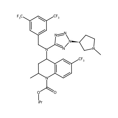 CC(C)OC(=O)N1c2ccc(C(F)(F)F)cc2C(N(Cc2cc(C(F)(F)F)cc(C(F)(F)F)c2)c2nnn([C@H]3CCN(C)C3)n2)CC1C